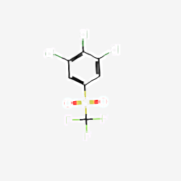 O=S(=O)(c1cc(Cl)c(Cl)c(Cl)c1)C(F)(F)F